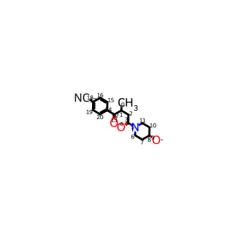 CC(CC(=O)N1CCC([O])CC1)C(=O)c1ccc(C#N)cc1